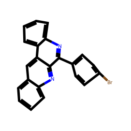 Brc1ccc(-c2nc3ccccc3c3cc4ccccc4nc23)cc1